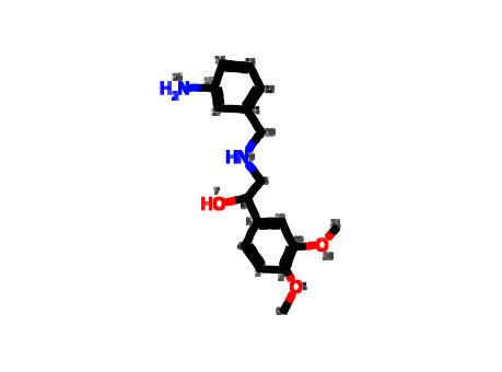 COc1ccc(C(O)CNCc2cccc(N)c2)cc1OC